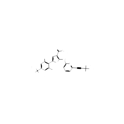 CC(C)(O)C#Cc1cccc(Nc2sc(-c3c(F)cc(C(C)(C)O)cc3F)cc2C(N)=O)n1